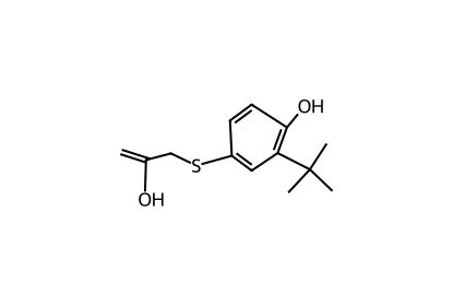 C=C(O)CSc1ccc(O)c(C(C)(C)C)c1